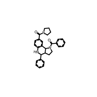 O=C(c1ccc2c(c1)C1C(CCN1C(=O)c1ccccc1)C(c1ccccc1)N2)N1CCCC1